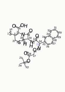 CSC1=C(C(=O)O)N2C(=O)C(NC(=O)/C(=N\OCC(=O)OC(C)(C)C)c3ccc4ccccc4c3)[C@H]2SC1